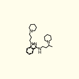 CC(CCNc1nn(CCCN2CCCCC2)c2ccccc12)N1CCCCC1